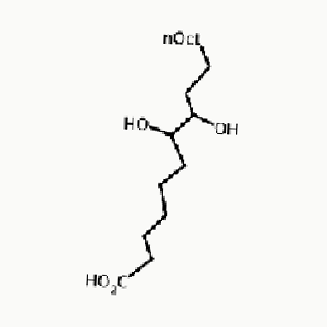 CCCCCCCCCCC(O)C(O)CCCCCC(=O)O